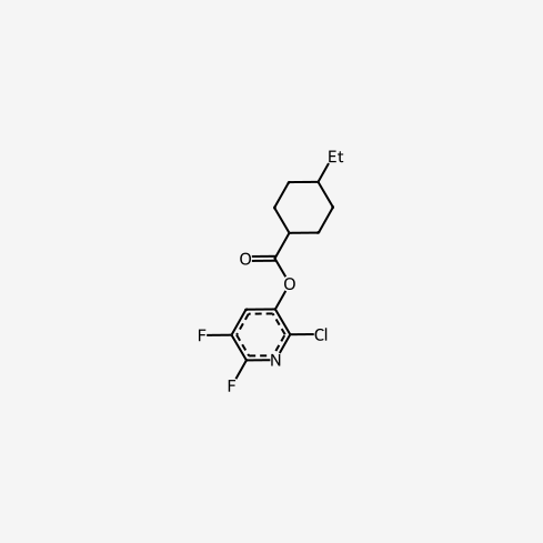 CCC1CCC(C(=O)Oc2cc(F)c(F)nc2Cl)CC1